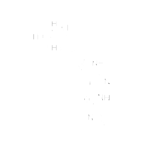 CC1CC(CC(=O)Nc2ccc(NC(=O)c3cscn3)nc2)=CC=C1C(C)(C)C